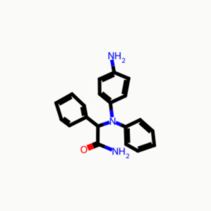 NC(=O)C(c1ccccc1)N(c1ccccc1)c1ccc(N)cc1